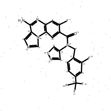 Nc1nc2cc(F)c(C(=O)N(Cc3ccc(C(F)(F)F)cc3F)c3cnsc3)cc2n2cncc12